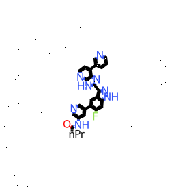 CCCC(=O)Nc1cncc(-c2cc3c(-c4nc5c(-c6cccnc6)ccnc5[nH]4)n[nH]c3cc2F)c1